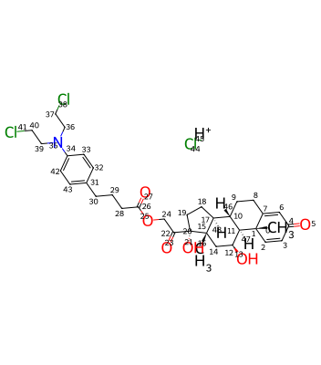 C[C@]12C=CC(=O)C=C1CC[C@@H]1[C@@H]2[C@@H](O)C[C@@]2(C)[C@H]1CC[C@]2(O)C(=O)COC(=O)CCCc1ccc(N(CCCl)CCCl)cc1.[Cl-].[H+]